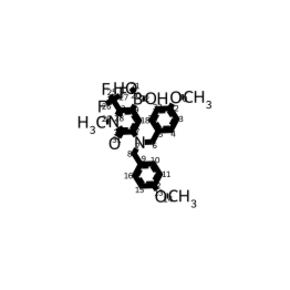 COc1ccc(CN(Cc2ccc(OC)cc2)c2cc(B(O)O)c(C(F)(F)F)n(C)c2=O)cc1